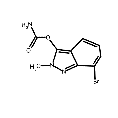 Cn1nc2c(Br)cccc2c1OC(N)=O